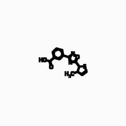 CC1C=CSC1c1nc(-c2cccc(C(=O)O)c2)no1